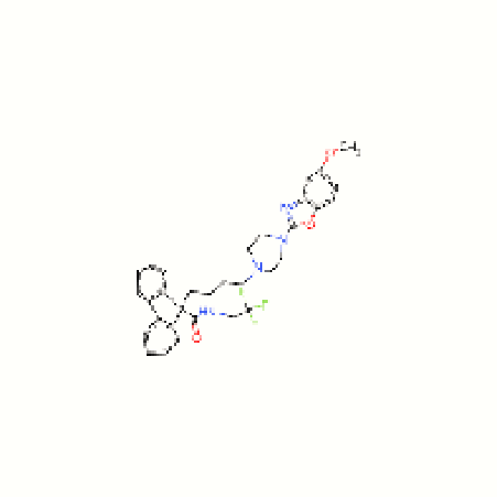 COc1ccc2oc(N3CCN(CCCCC4(C(=O)NCC(F)(F)F)c5ccccc5-c5ccccc54)CC3)nc2c1